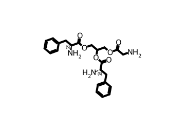 NCC(=O)OCC(COC(=O)[C@@H](N)Cc1ccccc1)OC(=O)[C@@H](N)Cc1ccccc1